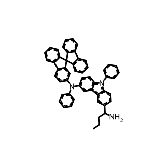 CCCC(N)c1ccc2c(c1)c1cc(N(c3ccccc3)c3ccc4c(c3)C3(c5ccccc5-c5ccccc53)c3ccccc3-4)ccc1n2-c1ccccc1